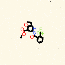 CCOC(=O)c1cc(NC(=O)c2ccccc2C(F)(F)F)cc2c1OCC2